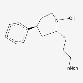 CCCCCCCCCCCC[C@@H]1C[C@@H](c2ccccc2)CCN1O